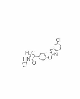 CC(C(=O)NC1CCC1)c1ccc(Oc2nc3ccc(Cl)cc3s2)cc1